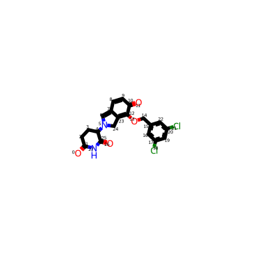 O=C1CCC(N2C=C3C=CC(=O)C(OCc4cc(Cl)cc(Cl)c4)=C3C2)C(=O)N1